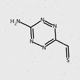 Nc1nnc(C=S)nn1